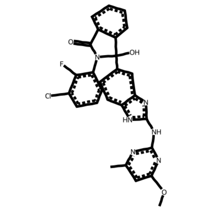 COc1cc(C)nc(Nc2nc3cc(C4(O)c5ccccc5C(=O)N4c4cccc(Cl)c4F)ccc3[nH]2)n1